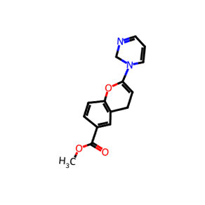 COC(=O)c1ccc2c(c1)CC=C(N1C=CC=NC1)O2